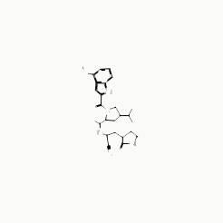 COc1cccc2[nH]c(C(=O)N3CC(C(C)C)CC3C(O)NC(C#N)CC3CCNC3=O)cc12